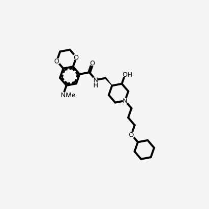 CNc1cc2c(c(C(=O)NC[C@@H]3CCN(CCCOC4CCCCC4)CC3O)c1)OCCO2